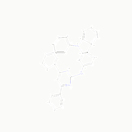 c1ccc(-c2cc(-c3ccccc3)nc(Nc3ccc4c5ccccc5n(-c5ccccc5)c4c3)n2)cc1